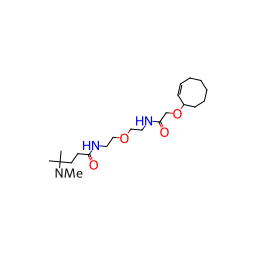 CNC(C)(C)CCC(=O)NCCOCCNC(=O)COC1/C=C\CCCCC1